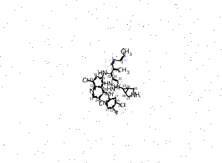 C=C(/C=C\C=C/C)[C@H](Nc1cc(Cl)c2ncc(C#N)c(Nc3ccc(F)c(Cl)c3)c2c1)C1=CN(C2C3CNCC32)NN1